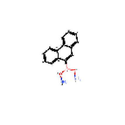 NOB(ON)c1cc2ccccc2c2ccccc12